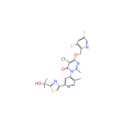 Cc1cnc(-c2csc(C(C)(C)O)n2)cc1-n1c(C)nc(OCc2ncc(F)cc2F)c(Cl)c1=O